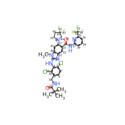 Cn1c(Nc2c(Cl)ccc(CNC(=O)C(C)(C)C)c2Cl)nc2cc(C(=O)Nc3cccc(C(F)(F)F)n3)c(N3CCC(F)(F)C3)cc21